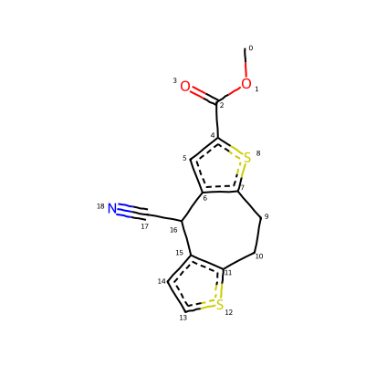 COC(=O)c1cc2c(s1)CCc1sccc1C2C#N